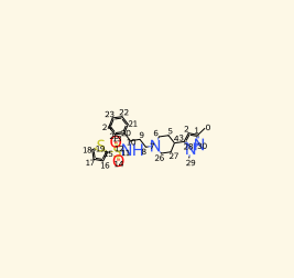 Cc1cc(C2CCN(CCC(NS(=O)(=O)c3cccs3)c3ccccc3)CC2)n(C)n1